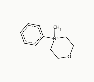 C[N+]1(c2[c]cccc2)CCOCC1